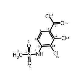 CS(=O)(=O)Nc1ccc(C(=O)Cl)c(Cl)c1Cl